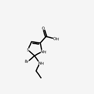 CCNC1(Br)NC(C(=O)O)=CS1